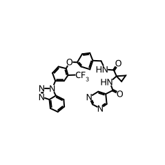 O=C(NC1(C(=O)NCc2ccc(Oc3ccc(-n4nnc5ccccc54)cc3C(F)(F)F)cc2)CC1)c1cncnc1